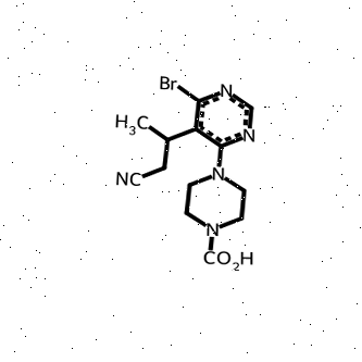 CC(CC#N)c1c(Br)ncnc1N1CCN(C(=O)O)CC1